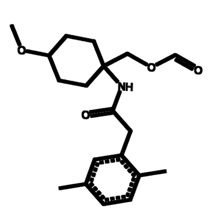 COC1CCC(COC=O)(NC(=O)Cc2cc(C)ccc2C)CC1